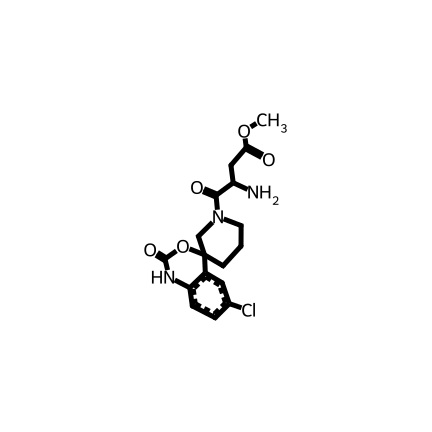 COC(=O)CC(N)C(=O)N1CCCC2(C1)OC(=O)Nc1ccc(Cl)cc12